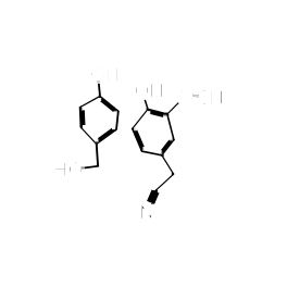 COc1cc(CC#N)ccc1O.OCc1ccc(O)cc1